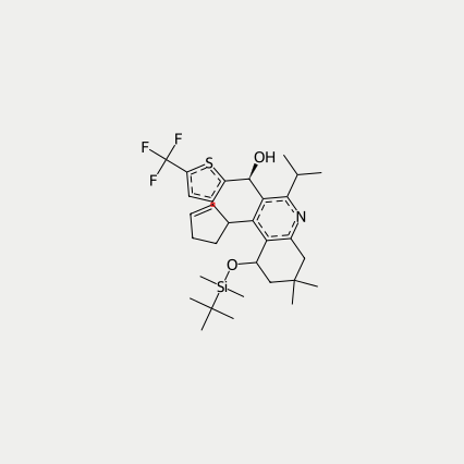 CC(C)c1nc2c(c(C3C=CCC3)c1[C@H](O)c1ccc(C(F)(F)F)s1)C(O[Si](C)(C)C(C)(C)C)CC(C)(C)C2